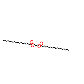 CCCCCCCC/C=C/CCCCCCCC(=O)OCCCOC(=O)CCCCCCC/C=C/CCCCCCCC